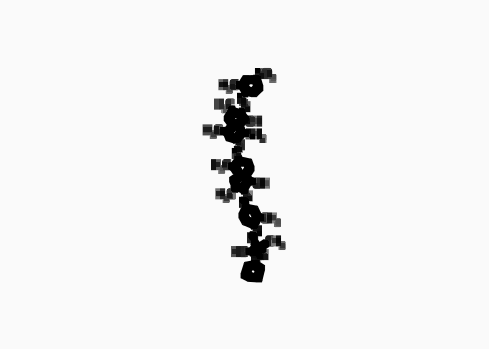 Cc1cc([N+](=O)[O-])ccc1/N=N/c1c(C)cc2c(C)cc(/N=N/c3ccc4c(O)c(/N=N/c5ccc(/N=N/c6c(C)nn(-c7ccccc7)c6O)c(C)c5)c(C)cc4c3C)c(N)c2c1O